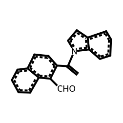 C=C(c1ccc2ccccc2c1C=O)n1ccc2ccccc21